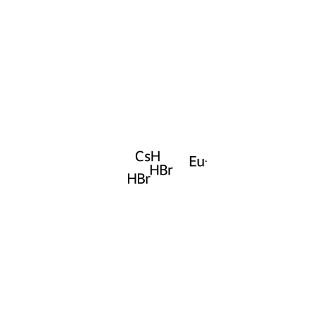 Br.Br.[CsH].[Eu]